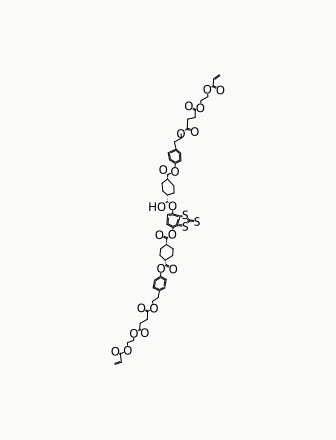 C=CC(=O)OCCOC(=O)CCC(=O)OCCc1ccc(OC(=O)[C@H]2CC[C@H](C(=O)Oc3ccc(OC(O)[C@H]4CC[C@H](C(=O)Oc5ccc(CCOC(=O)CCC(=O)OCCOC(=O)C=C)cc5)CC4)c4sc(=S)sc34)CC2)cc1